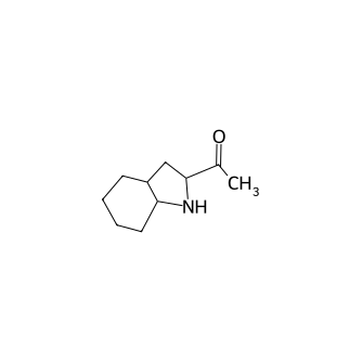 CC(=O)C1CC2CCCCC2N1